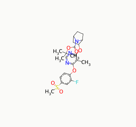 Cc1c(Oc2ccc(S(C)(=O)=O)cc2F)ncnc1OC1CC2CCC1N2C(=O)OC(C)(C)C